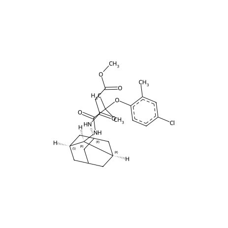 COC(=O)CC(=O)N[C@@]12CC3C[C@H](C1)[C@H](NC(=O)C(C)(C)Oc1ccc(Cl)cc1C)[C@@H](C3)C2